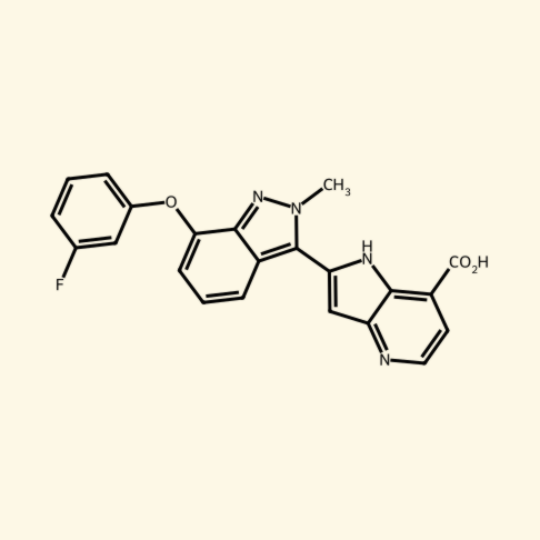 Cn1nc2c(Oc3cccc(F)c3)cccc2c1-c1cc2nccc(C(=O)O)c2[nH]1